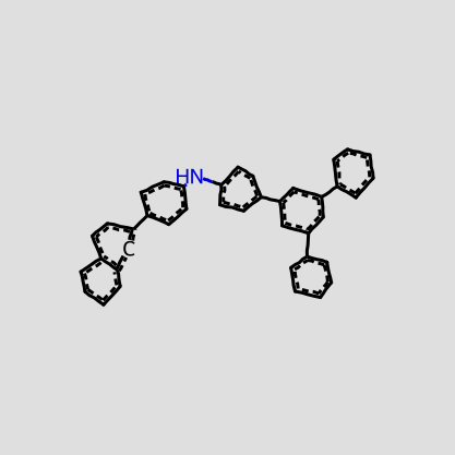 c1ccc(-c2cc(-c3ccccc3)cc(-c3ccc(Nc4ccc(-c5ccc6ccccc6c5)cc4)cc3)c2)cc1